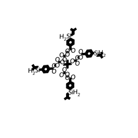 CC(C)=C[SiH2]c1ccc(C(=O)OOC(=O)OCC(COC(=O)OOC(=O)c2ccc([SiH2]C=C(C)C)cc2)(COC(=O)OOC(=O)c2ccc([SiH2]C=C(C)C)cc2)COC(=O)OOC(=O)c2ccc([SiH2]C=C(C)C)cc2)cc1